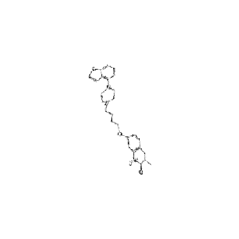 CC1Cc2ccc(OCCCCN3CCN(c4cccc5sccc45)CC3)cc2[N+](=O)C1=O